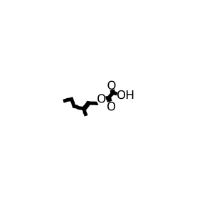 CCCC(C)=CCOC(=O)C(=O)O